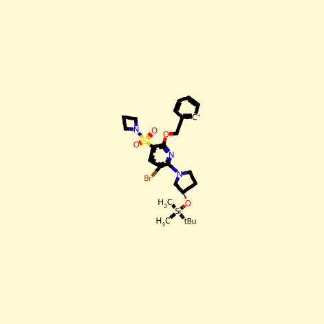 CC(C)(C)[Si](C)(C)O[C@H]1CCN(c2nc(OCC3=[C+]C=CC=C3)c(S(=O)(=O)N3CCC3)cc2Br)C1